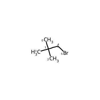 CC(C)(C)[CH]Br